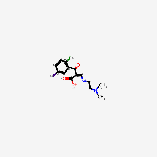 CN(C)CCNC=C(C(=O)O)C(=O)c1cc(I)ccc1F